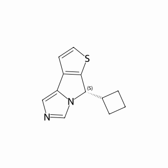 c1cc2c(s1)[C@H](C1CCC1)n1cncc1-2